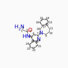 NCC(=O)Nc1cc(N2CCCc3ccccc3C2)nc2ccccc12